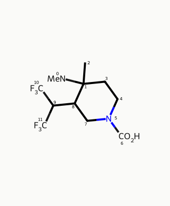 CNC1(C)CCN(C(=O)O)CC1C(C(F)(F)F)C(F)(F)F